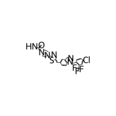 CNC(=O)CN1CCN(C2=NCC(=Cc3ccc4c(cnn4Cc4ccc(Cl)cc4C(F)(F)F)c3)S2)CC1